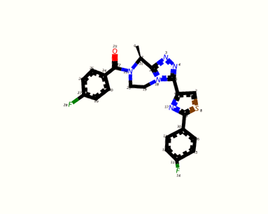 C[C@H]1c2nnc(-c3csc(-c4ccc(F)cc4)n3)n2CCN1C(=O)c1ccc(F)cc1